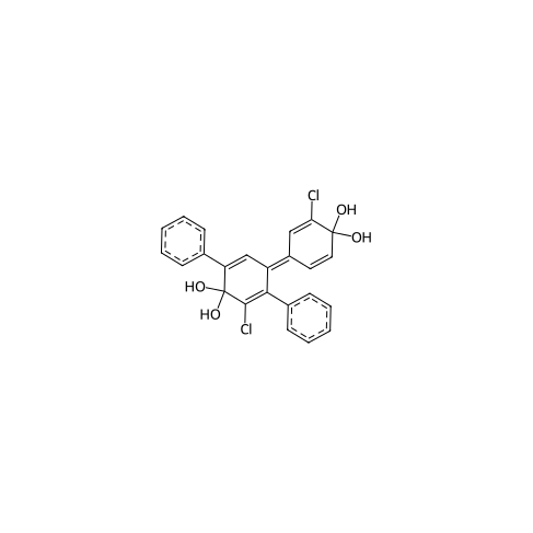 OC1(O)C=CC(=C2C=C(c3ccccc3)C(O)(O)C(Cl)=C2c2ccccc2)C=C1Cl